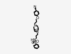 N#Cc1ccc(OCCCN2CC3CN(CCCNS(=O)(=O)c4ccccc4)CC(C2)O3)cc1